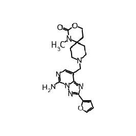 CN1C(=O)OCCC12CCN(Cc1cnc(N)n3nc(-c4ccco4)nc13)CC2